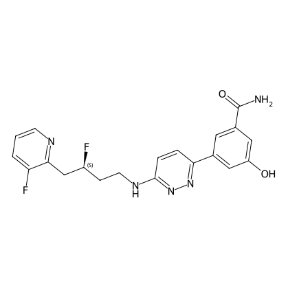 NC(=O)c1cc(O)cc(-c2ccc(NCC[C@H](F)Cc3ncccc3F)nn2)c1